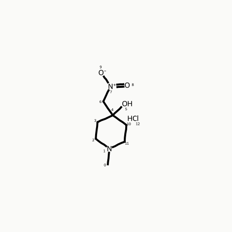 CN1CCC(O)(C[N+](=O)[O-])CC1.Cl